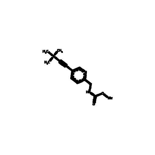 CC(C)(C)OC(=O)NCc1ccc(C#C[Si](C)(C)C)cn1